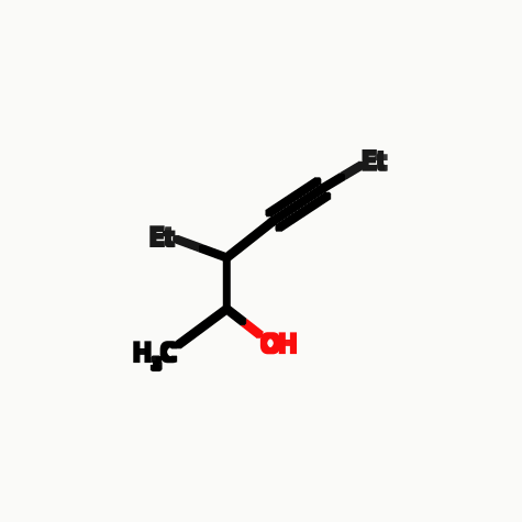 [CH2]CC#CC(CC)C(C)O